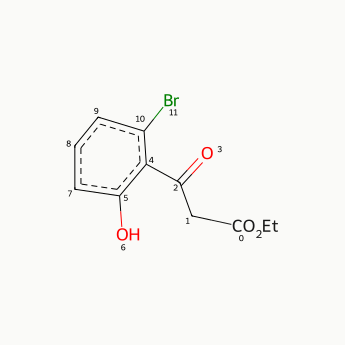 CCOC(=O)CC(=O)c1c(O)cccc1Br